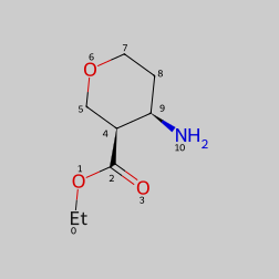 CCOC(=O)[C@H]1COCC[C@H]1N